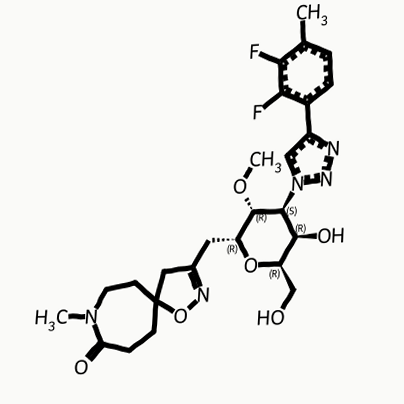 CO[C@@H]1[C@@H](n2cc(-c3ccc(C)c(F)c3F)nn2)[C@@H](O)[C@@H](CO)O[C@@H]1CC1=NOC2(CCC(=O)N(C)CC2)C1